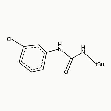 CC(C)(C)NC(=O)Nc1cccc(Cl)c1